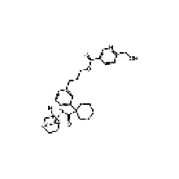 O=C(OCCCc1cccc(C2(C(=O)O[C@H]3CN4CCC3CC4)CCCCC2)c1)c1ccc(CO)nc1